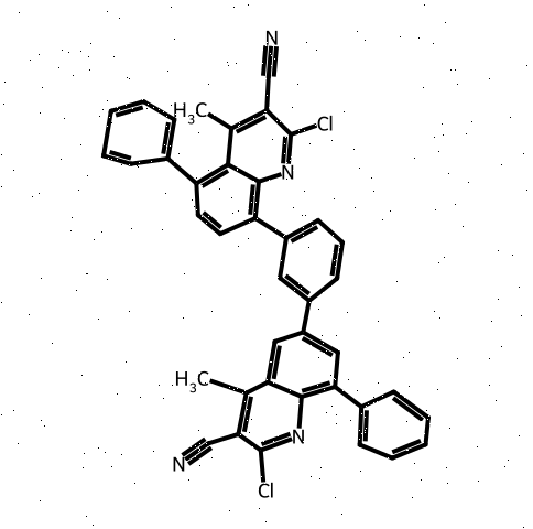 Cc1c(C#N)c(Cl)nc2c(-c3ccccc3)cc(-c3cccc(-c4ccc(-c5ccccc5)c5c(C)c(C#N)c(Cl)nc45)c3)cc12